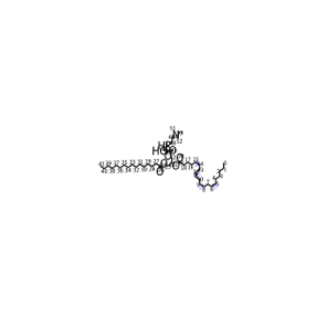 CCCCC/C=C\C/C=C\C/C=C\C/C=C\CCCC(=O)OC(COC(=O)CCCCCCCCCCCCCCC)COP(=O)(O)PCC[N+](C)(C)C